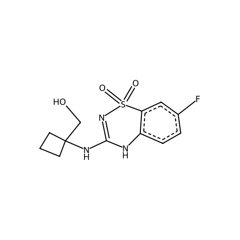 O=S1(=O)N=C(NC2(CO)CCC2)Nc2ccc(F)cc21